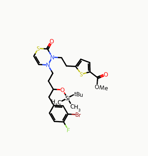 COC(=O)c1ccc(CCN2C(=O)SC=CN2CCC(Cc2ccc(F)c(Br)c2)O[Si](C)(C)C(C)(C)C)s1